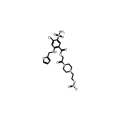 NS(=O)(=O)c1cc(C(=O)OCC(=O)N2CCN(CCO[N+](=O)[O-])CC2)c(NCc2ccco2)cc1Cl